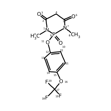 CN1C(=O)CC(=O)N(C)P1(=O)Oc1ccc(OC(F)(F)F)cc1